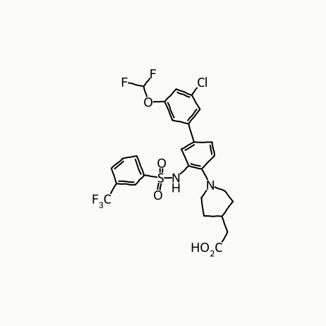 O=C(O)CC1CCN(c2ccc(-c3cc(Cl)cc(OC(F)F)c3)cc2NS(=O)(=O)c2cccc(C(F)(F)F)c2)CC1